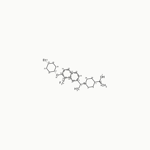 C=C(O)C1CCN(C(C)c2ccc3ccc(O[C@H]4CC[C@@H](CC)CC4)c(C(F)(F)F)c3c2)CC1